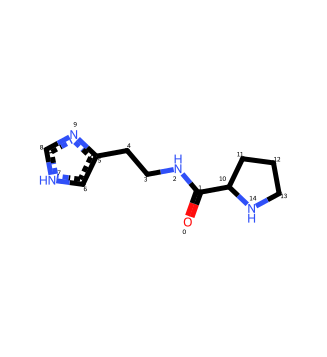 O=C(NCCc1c[nH]cn1)C1CCCN1